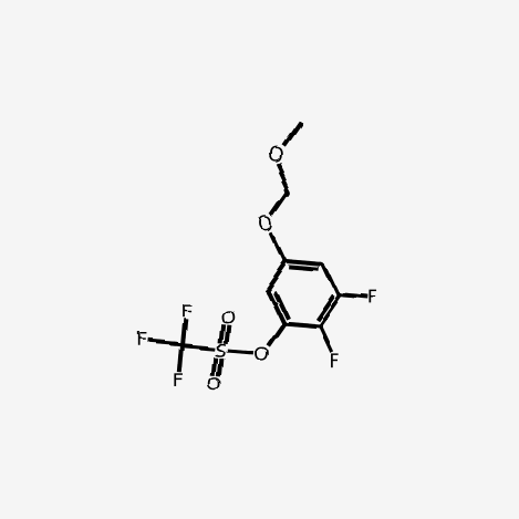 COCOc1cc(F)c(F)c(OS(=O)(=O)C(F)(F)F)c1